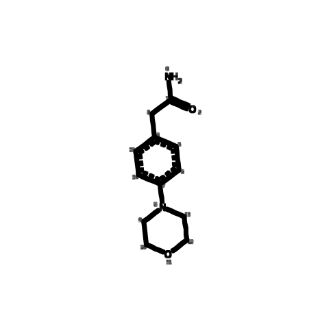 NC(=O)Cc1ccc(N2CCOCC2)cc1